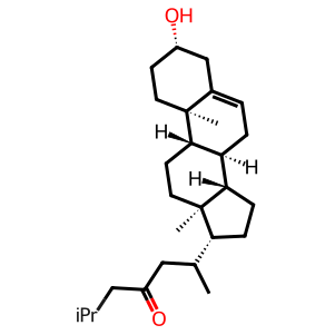 CC(C)CC(=O)CC(C)[C@H]1CC[C@H]2[C@@H]3CC=C4C[C@@H](O)CC[C@]4(C)[C@H]3CC[C@]12C